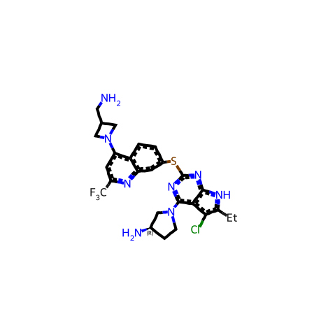 CCc1[nH]c2nc(Sc3ccc4c(N5CC(CN)C5)cc(C(F)(F)F)nc4c3)nc(N3CC[C@@H](N)C3)c2c1Cl